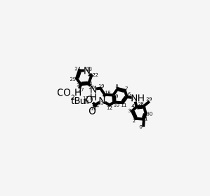 Cc1ccc(Nc2ccc3c(c2)CN(C(=O)OC(C)(C)C)C3CNc2cnccc2C(=O)O)c(C)c1